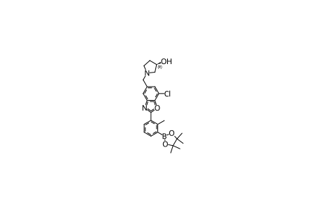 Cc1c(B2OC(C)(C)C(C)(C)O2)cccc1-c1nc2cc(CN3CC[C@@H](O)C3)cc(Cl)c2o1